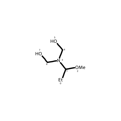 CCC(OC)N(CO)CO